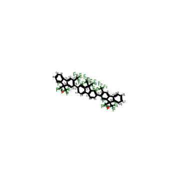 FC(F)(F)c1cc2c(cc1-c1ccc3c(c1)C(C(F)(F)F)(C(F)(F)F)c1cc(-c4cc5c(cc4C(F)(F)F)-c4ccccc4C5(C(F)(F)F)C(F)(F)F)ccc1-3)C(C(F)(F)F)(C(F)(F)F)c1ccccc1-2